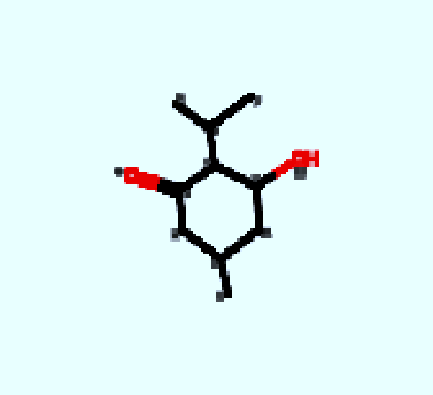 CC1CC(=O)C(C(C)C)C(O)C1